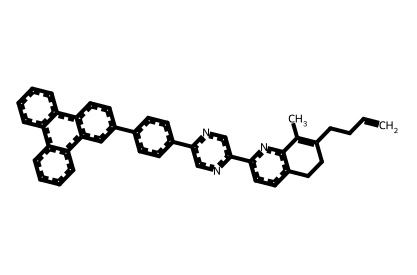 C=CCCC1=C(C)c2nc(-c3cnc(-c4ccc(-c5ccc6c7ccccc7c7ccccc7c6c5)cc4)cn3)ccc2CC1